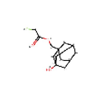 O=C(CF)OCC12CC3CC(CC(O)(C3)C1)C2